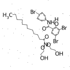 CCCCCCCCCCCC(=O)N(OCCO)OCCO.O=C(Nc1ccc(Br)cc1)c1cc(Br)cc(Br)c1O